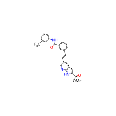 COC(=O)c1cc2cc(C=Cc3cccc(C(=O)Nc4cccc(C(F)(F)F)c4)c3)cnc2[nH]1